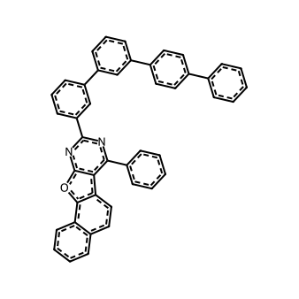 c1ccc(-c2ccc(-c3cccc(-c4cccc(-c5nc(-c6ccccc6)c6c(n5)oc5c7ccccc7ccc56)c4)c3)cc2)cc1